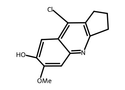 COc1cc2nc3c(c(Cl)c2cc1O)CCC3